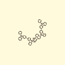 c1ccc(-n2c3ccccc3c3cc(-c4ccc5c(c4)c4ccccc4n5-c4ncc5c(n4)-c4cccc6c(-n7c8ccccc8c8cc(-c9ccc%10c(c9)c9ccccc9n%10-c9ccccc9)ccc87)ccc-5c46)ccc32)cc1